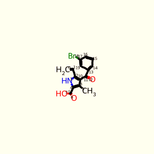 C=Cc1[nH]c(C(=O)O)c(C)c1C(=O)c1cccc(Br)c1